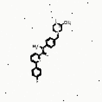 C[C@H]1CN(Cc2ccc(N(C)C(=O)c3cccc(-c4ccc(F)cc4)n3)cc2)CCN1